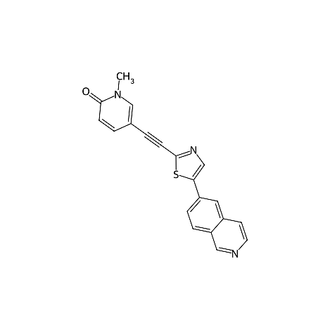 Cn1cc(C#Cc2ncc(-c3ccc4cnccc4c3)s2)ccc1=O